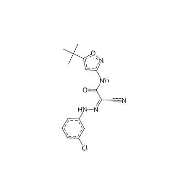 CC(C)(C)c1cc(NC(=O)C(C#N)=NNc2cccc(Cl)c2)no1